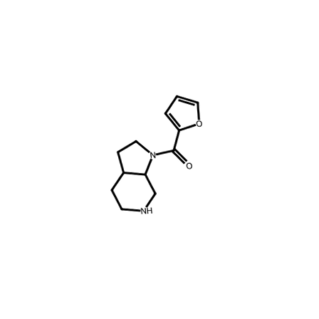 O=C(c1ccco1)N1CCC2CCNCC21